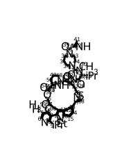 CCn1c(-c2cccnc2C(C)C)c2c3cc(ccc31)-c1csc(n1)C[C@H](NC(=O)[C@H](C(C)C)N(C)C(=O)N1CCCN(C(=O)[C@@H]3CN3)CC1)C(=O)N1CCC[C@H](N1)C(=O)OCC(C)(C)C2